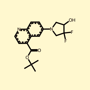 CC(C)(C)OC(=O)c1ccnc2ccc(N3CC(O)C(F)(F)C3)cc12